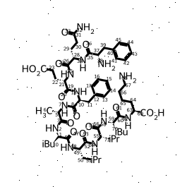 CC[C@H](C)[C@H](NC(=O)[C@H](C)NC(=O)[C@H](Cc1ccccc1)NC(=O)[C@H](CCC(=O)O)NC(=O)[C@H](CCC(N)=O)NC(=O)[C@@H](N)Cc1ccccc1)C(=O)N[C@@H](CC(C)C)C(=O)N[C@H](C(=O)N[C@H](C(=O)N[C@@H](CCCCN)C(=O)O)[C@@H](C)CC)C(C)C